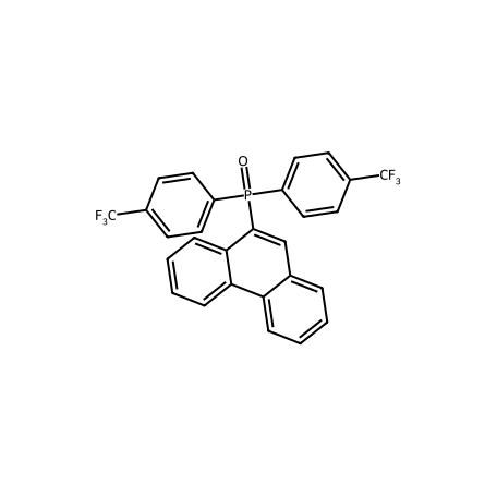 O=P(c1ccc(C(F)(F)F)cc1)(c1ccc(C(F)(F)F)cc1)c1cc2ccccc2c2ccccc12